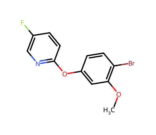 COc1cc(Oc2ccc(F)cn2)ccc1Br